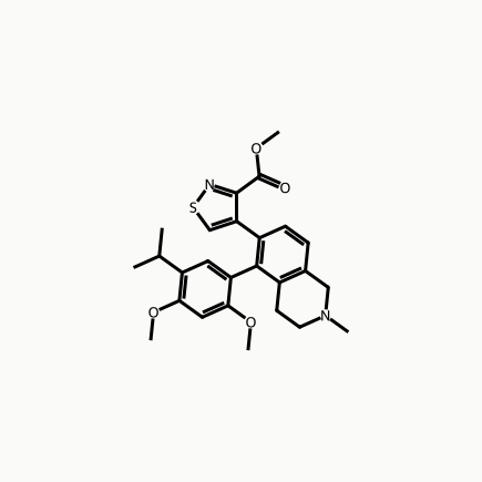 COC(=O)c1nscc1-c1ccc2c(c1-c1cc(C(C)C)c(OC)cc1OC)CCN(C)C2